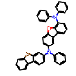 c1ccc(N(c2ccc3c(c2)sc2ccccc23)c2ccc3oc4c(N(c5ccccc5)c5ccccc5)cccc4c3c2)cc1